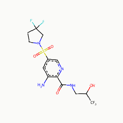 Nc1cc(S(=O)(=O)N2CCC(F)(F)C2)cnc1C(=O)NCC(O)C(F)(F)F